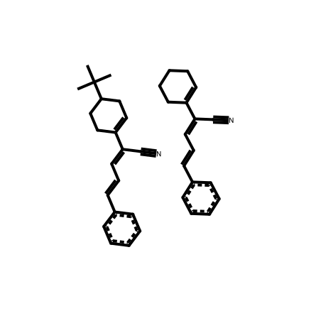 CC(C)(C)C1CC=C(C(C#N)=CC=Cc2ccccc2)CC1.N#CC(=CC=Cc1ccccc1)C1=CCCCC1